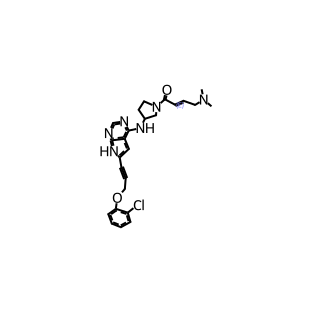 CN(C)C/C=C/C(=O)N1CCC(Nc2ncnc3[nH]c(C#CCOc4ccccc4Cl)cc23)C1